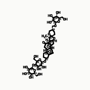 C[C@H]1[C@H]2[C@H](C[C@H]3[C@@H]4CC=C5C[C@@H](O[C@@H]6O[C@H](CO)[C@H](O[C@@H]7O[C@H](CO)[C@@H](O)[C@H](O)[C@H]7O)[C@H](O)[C@H]6O)CC[C@]5(C)[C@H]4CC(=O)[C@]23C)O[C@]12CC[C@@H](CO[C@@H]1O[C@H](CO)[C@@H](O)[C@H](O)[C@H]1O)CO2